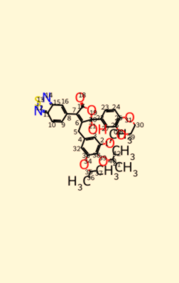 COc1cc(CC2=C(c3ccc4nsnc4c3)C(=O)OC2(O)c2ccc3c(c2)OCCO3)cc(OC(C)C)c1OC(C)C